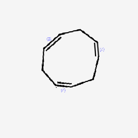 [C]1=C\C/C=C\C/C=C\C/1